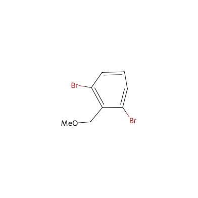 [CH2]OCc1c(Br)cccc1Br